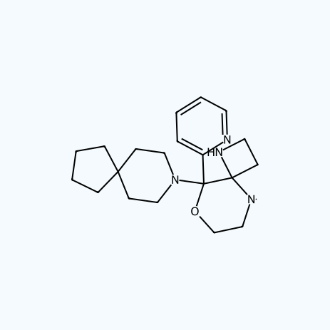 c1ccc(C2(N3CCC4(CCCC4)CC3)OCC[N]C23CCN3)nc1